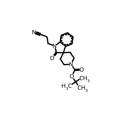 CC(C)(C)OC(=O)N1CCC2(CC1)C(=O)N(CCC#N)c1ccccc12